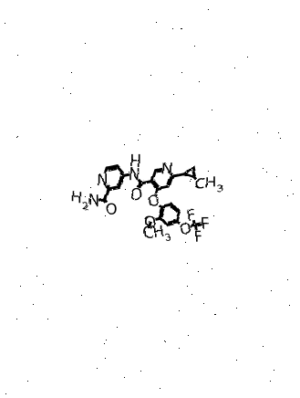 COc1cc(OC(F)(F)F)ccc1Oc1cc(C2CC2C)ncc1C(=O)Nc1ccnc(C(N)=O)c1